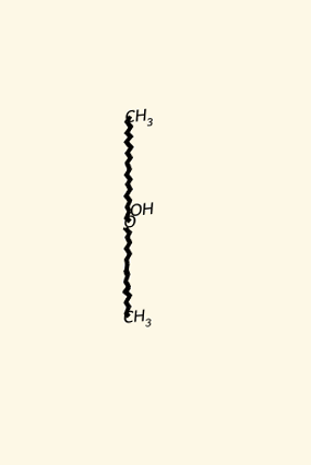 CCCCCC=CCC=CCCCCCCCCOCC(O)CCCCCCCCCCCCCCCCCC